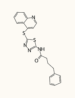 O=C(CCCc1ccccc1)Nc1nnc(Sc2ccnc3ccccc23)s1